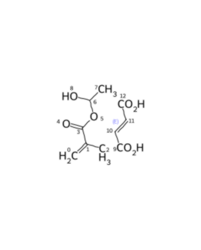 C=C(C)C(=O)OC(C)O.O=C(O)/C=C/C(=O)O